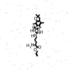 C=CCOC(=O)[C@@H](N)CCCNC(=N)NS(=O)(=O)c1c(C)c(C)c2c(c1C)OC(C)(C)C2